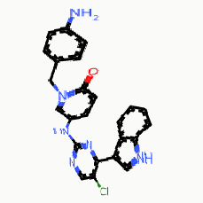 Nc1ccc(Cn2cc(Nc3ncc(Cl)c(-c4c[nH]c5ccccc45)n3)ccc2=O)cc1